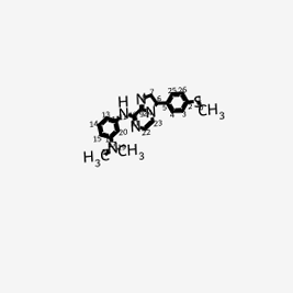 CSc1ccc(C2CN=C3C(Nc4cccc(N(C)C)c4)=NC=CN32)cc1